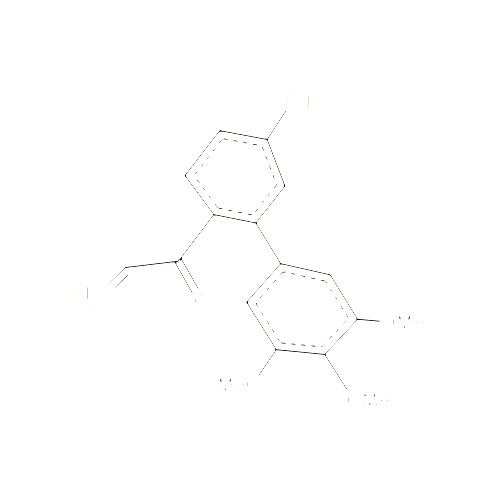 C=CC(=O)c1ccc(C)cc1-c1cc(OC)c(OC)c(OC)c1